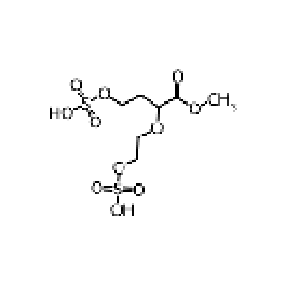 COC(=O)C(CCOS(=O)(=O)O)OCCOS(=O)(=O)O